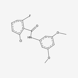 COc1cc(NC(=O)c2c(F)cccc2Cl)cc(OC)c1